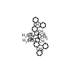 Cc1ccc2c(c1-c1ccccc1-c1ccccc1)C=C(C(C)(C)C)[CH]2[Zr]([Cl])([Cl])([CH]1C(C(C)(C)C)=Cc2c1ccc(C)c2-c1ccccc1-c1ccccc1)[SiH](C)C